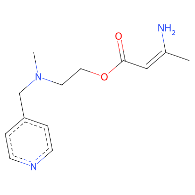 CC(N)=CC(=O)OCCN(C)Cc1ccncc1